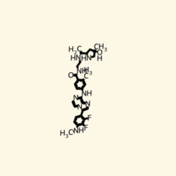 C=C(NCCNC(=O)c1ccc(Nc2nccn3c(-c4ccc(NC)c(F)c4F)cnc23)cc1C)C1C[C@](C)(O)CN1